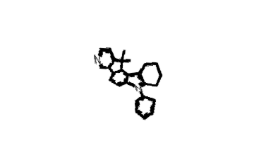 CC1(C)c2ccncc2-c2ccc3c(c4c(n3-c3ccccc3)CCCC4)c21